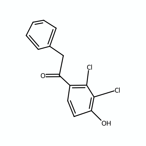 O=C(Cc1ccccc1)c1ccc(O)c(Cl)c1Cl